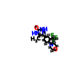 C[C@@H]1NC(=O)NN=C1c1ccc(N2CCOCC2)c(C(F)(F)F)c1